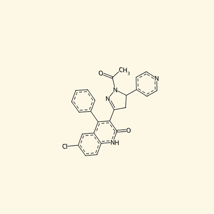 CC(=O)N1N=C(c2c(-c3ccccc3)c3cc(Cl)ccc3[nH]c2=O)CC1c1ccncc1